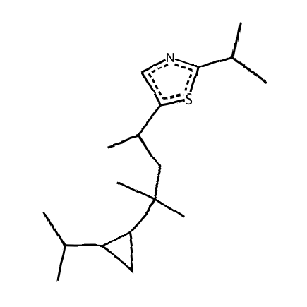 CC(C)c1ncc(C(C)CC(C)(C)C2CC2C(C)C)s1